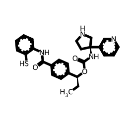 CC[C@H](OC(=O)N[C@@]1(c2cccnc2)CCNC1)c1ccc(C(=O)Nc2ccccc2S)cc1